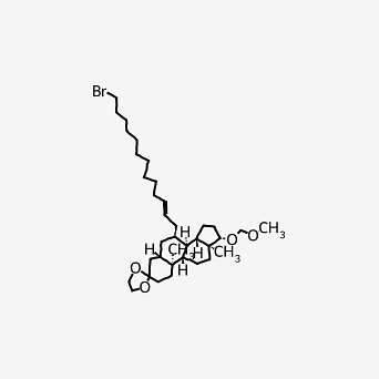 COCO[C@H]1CC[C@H]2[C@@H]3[C@H](CC=CCCCCCCCCCCBr)C[C@H]4CC5(CC[C@]4(C)[C@H]3CC[C@]12C)OCCO5